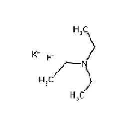 CCN(CC)CC.[F-].[K+]